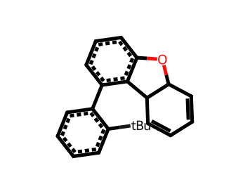 CC(C)(C)c1ccccc1-c1cccc2c1C1C=CC=CC1O2